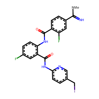 CNC(=N)c1ccc(C(=O)Nc2ccc(F)cc2C(=O)Nc2ccc(CI)cn2)c(F)c1